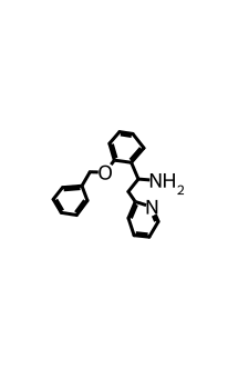 NC(Cc1ccccn1)c1ccccc1OCc1ccccc1